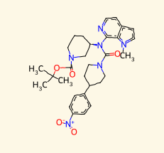 Cn1ccc2ccnc(N(C(=O)N3CCC(c4ccc([N+](=O)[O-])cc4)CC3)[C@@H]3CCCN(C(=O)OC(C)(C)C)C3)c21